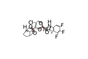 NC(=O)OC[C@@H]1CC2CC[C@@H](C1)C2S(=O)(=O)c1cc(C(=O)Nc2cc(F)c(F)c(F)c2)ccc1Cl